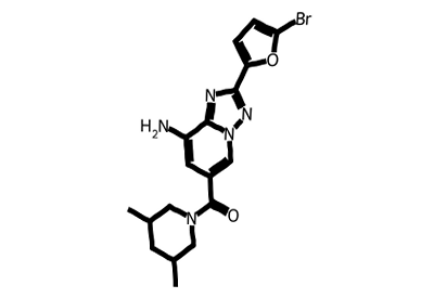 CC1CC(C)CN(C(=O)c2cc(N)c3nc(-c4ccc(Br)o4)nn3c2)C1